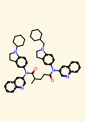 CC(CCC(=O)N(c1ccc2c(c1)CCN2CC1CCCCC1)c1cnc2ccccc2c1)C(=O)N(c1ccc2c(c1)CCN2C1CCCCC1)c1cnc2ccccc2c1